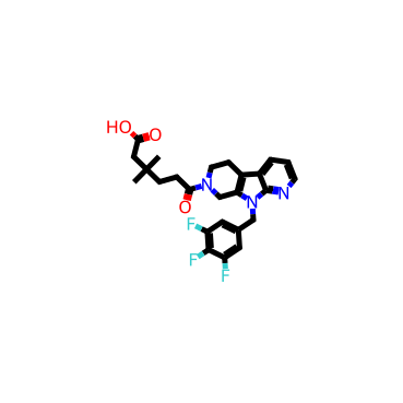 CC(C)(CCC(=O)N1CCc2c(n(Cc3cc(F)c(F)c(F)c3)c3ncccc23)C1)CC(=O)O